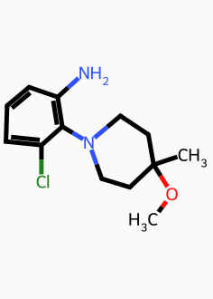 COC1(C)CCN(c2c(N)cccc2Cl)CC1